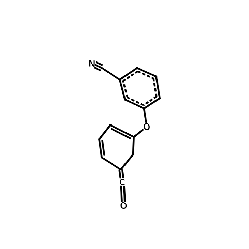 N#Cc1cccc(OC2=CC=CC(=C=O)C2)c1